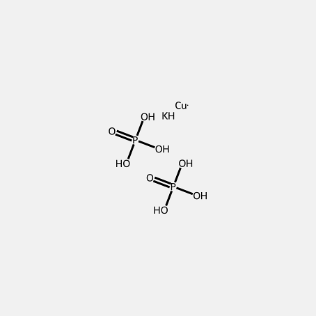 O=P(O)(O)O.O=P(O)(O)O.[Cu].[KH]